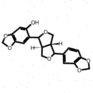 Oc1cc2c(cc1C1OC[C@@H]3C(c4ccc5c(c4)OCO5)OC[C@@H]13)OCO2